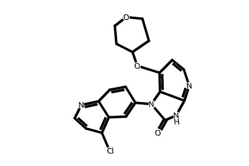 O=c1[nH]c2nccc(OC3CCOCC3)c2n1-c1ccc2nccc(Cl)c2c1